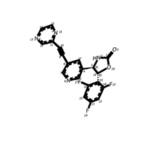 O=C1N[C@H](c2cncc(C#Cc3cnccn3)c2)[C@@H](c2c(F)cc(F)cc2F)O1